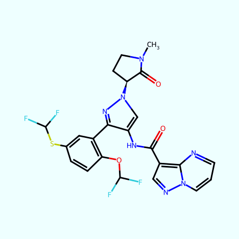 CN1CC[C@H](n2cc(NC(=O)c3cnn4cccnc34)c(-c3cc(SC(F)F)ccc3OC(F)F)n2)C1=O